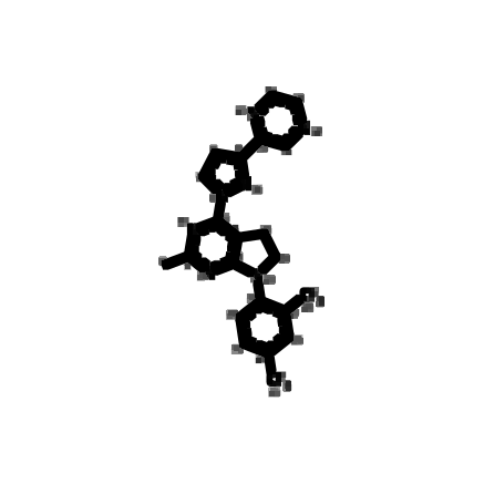 Cc1nc2c(c(-n3ccc(-c4cnccn4)n3)n1)CCN2c1ccc(C(F)(F)F)cc1C(F)(F)F